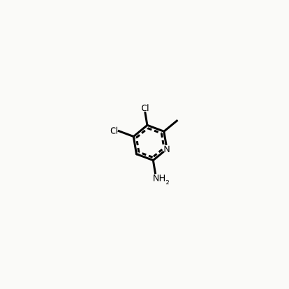 Cc1nc(N)cc(Cl)c1Cl